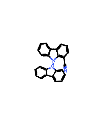 N#Cc1cccc2c3ccccc3n(-n3c4ccccc4c4ccccc43)c12